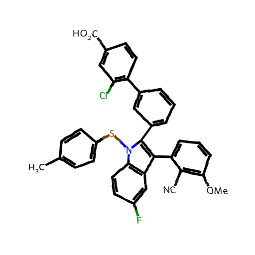 COc1cccc(-c2c(-c3cccc(-c4ccc(C(=O)O)cc4Cl)c3)n(Sc3ccc(C)cc3)c3ccc(F)cc23)c1C#N